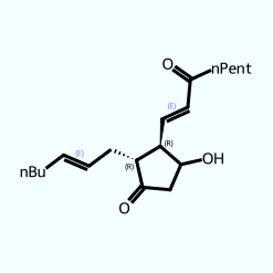 CCCC/C=C/C[C@H]1C(=O)CC(O)[C@@H]1/C=C/C(=O)CCCCC